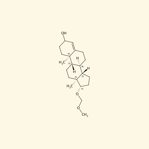 COCO[C@H]1CC[C@H]2[C@@H]3CCC4=CC(O)CC[C@]4(C)[C@H]3CC[C@]12C